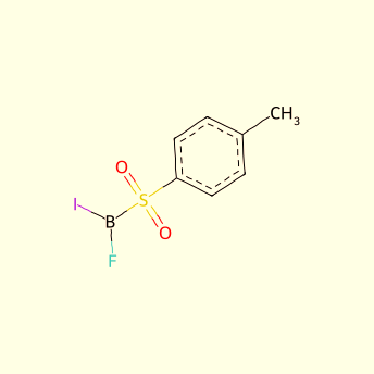 Cc1ccc(S(=O)(=O)B(F)I)cc1